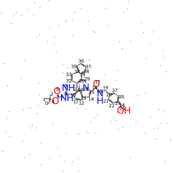 CC(C)(C)OC(=O)NC(=N)c1ccc2cc(C(=O)NCc3ccc(CO)cc3)n(Cc3cccc4ccccc34)c2c1